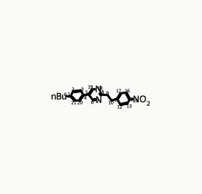 CCCCc1ccc(-c2cnc(CCc3ccc([N+](=O)[O-])cc3)nc2)cc1